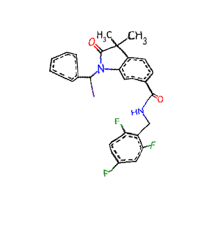 CC1(C)C(=O)N(C(I)c2ccccc2)c2cc(C(=O)NCc3c(F)cc(F)cc3F)ccc21